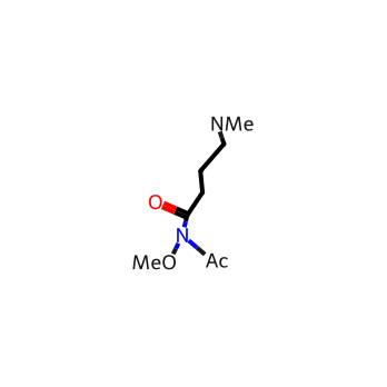 CNCCCC(=O)N(OC)C(C)=O